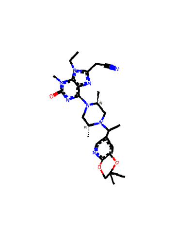 CCn1c(CC#N)nc2c(N3C[C@@H](C)N(C(C)c4cnc5c(c4)OC(C)(C)CO5)C[C@@H]3C)nc(=O)n(C)c21